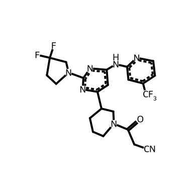 N#CCC(=O)N1CCCC(c2cc(Nc3cc(C(F)(F)F)ccn3)nc(N3CCC(F)(F)C3)n2)C1